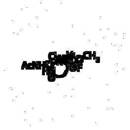 CC(=O)Nc1ccc2c(c1)NC(=O)CCC=CCC(NC(=O)c1c(F)cc(C)cc1F)c1nc-2c(Cl)[nH]1